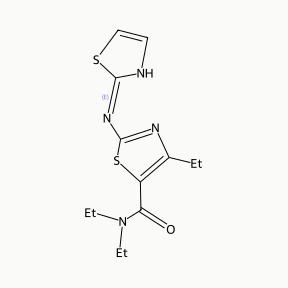 CCc1nc(/N=c2\[nH]ccs2)sc1C(=O)N(CC)CC